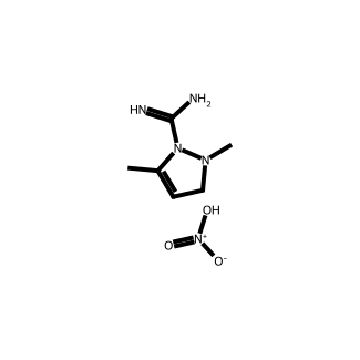 CC1=CCN(C)N1C(=N)N.O=[N+]([O-])O